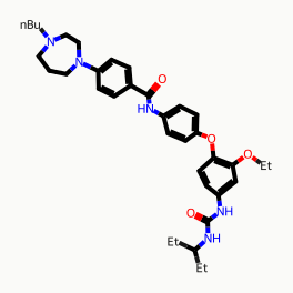 CCCCN1CCCN(c2ccc(C(=O)Nc3ccc(Oc4ccc(NC(=O)NC(CC)CC)cc4OCC)cc3)cc2)CC1